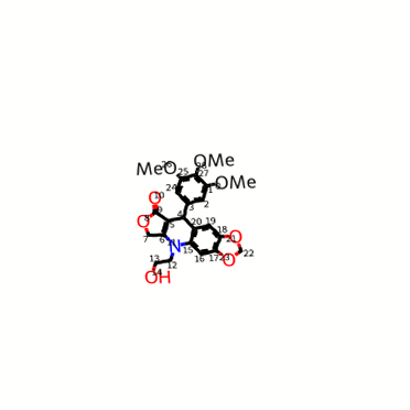 COc1cc(C2C3=C(COC3=O)N(CCO)c3cc4c(cc32)OCO4)cc(OC)c1OC